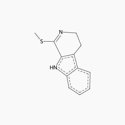 CSC1=NCCc2c1[nH]c1ccccc21